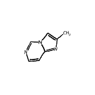 Cc1cn2cnccc2n1